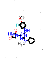 COc1ccc(Nc2nc(N3CC(=O)NC3=O)nc(N(C)C3CCCCC3)n2)cc1F